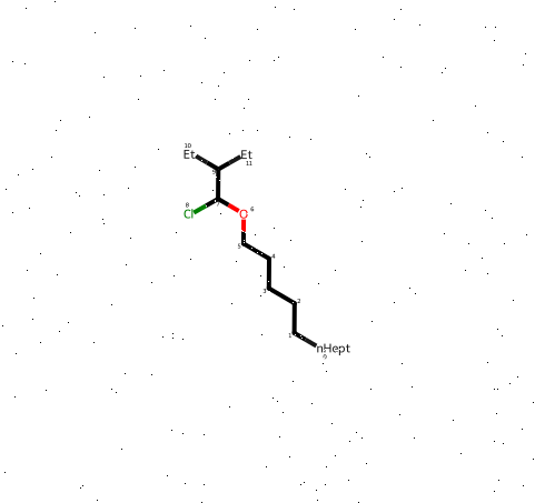 CCCCCCCCCCCCOC(Cl)C(CC)CC